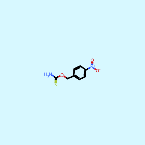 NC(=S)OCc1ccc([N+](=O)[O-])cc1